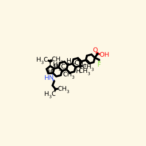 C=C(C)[C@@H]1CC[C@]2(NCCC(C)C)CC[C@]3(C)[C@H](CC[C@@H]4[C@@]5(C)CC=C(C6=CCC(CF)(C(=O)O)CC6)C(C)(C)[C@@H]5CC[C@]43C)[C@@H]12